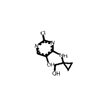 OCC1(Nc2nc(Cl)ncc2O)CC1